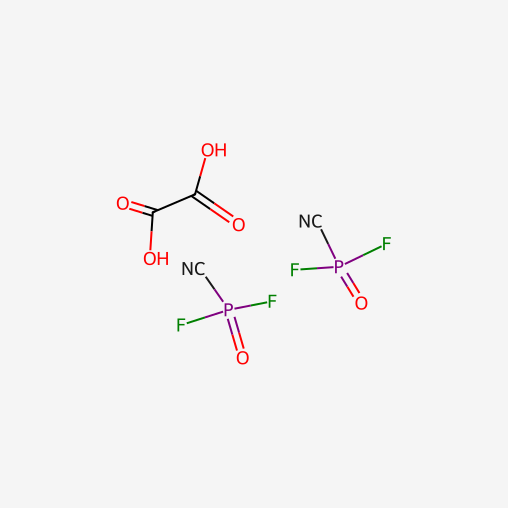 N#CP(=O)(F)F.N#CP(=O)(F)F.O=C(O)C(=O)O